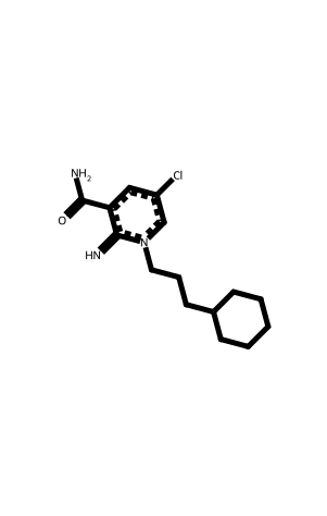 N=c1c(C(N)=O)cc(Cl)cn1CCCC1CCCCC1